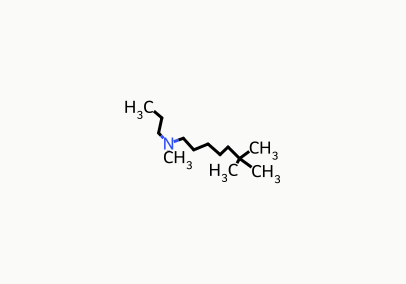 CCCN(C)CCCCCC(C)(C)C